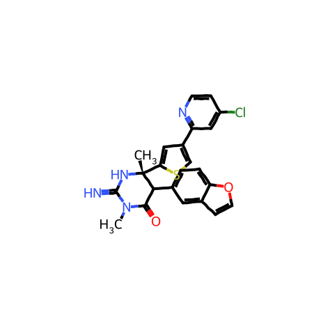 CN1C(=N)N[C@](C)(c2cc(-c3cc(Cl)ccn3)cs2)C(c2ccc3occc3c2)C1=O